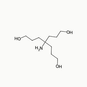 NC(CCCO)(CCCO)CCCO